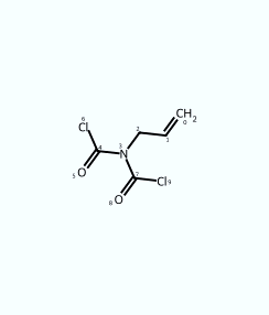 C=CCN(C(=O)Cl)C(=O)Cl